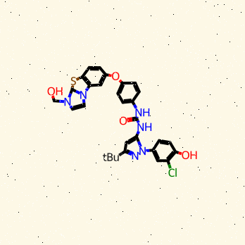 CC(C)(C)c1cc(NC(=O)Nc2ccc(Oc3ccc4c(c3)N3C=CN(CO)C3S4)cc2)n(-c2ccc(O)c(Cl)c2)n1